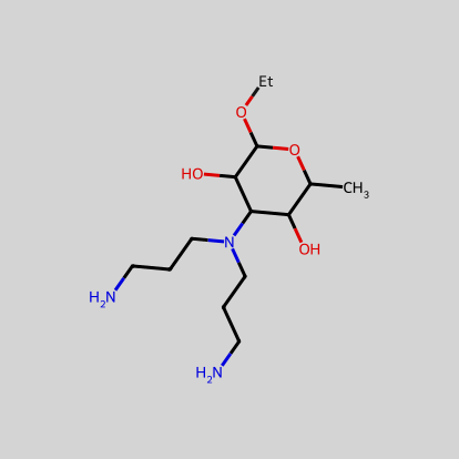 CCOC1OC(C)C(O)C(N(CCCN)CCCN)C1O